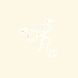 CC1CC(c2ccc(O)cc2)(c2ccc(O)cc2)CCC1c1ccccc1